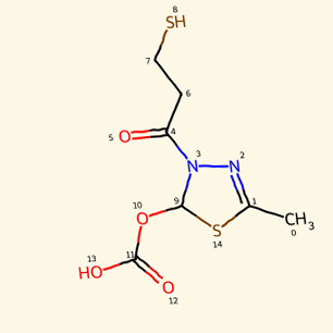 CC1=NN(C(=O)CCS)C(OC(=O)O)S1